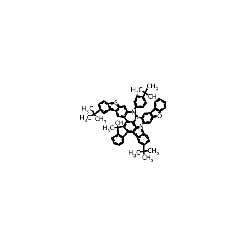 CC(C)(C)c1ccc(N2B3c4cc5c(cc4-n4c6ccc(C(C)(C)C)cc6c6c7c(c(c3c64)-c3cc4c(cc32)sc2ccc(C(C)(C)C)cc24)C(C)(C)c2ccccc2-7)oc2ccccc25)cc1